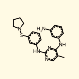 Cc1cnc(Nc2cccc(SN3CCCC3)c2)nc1Nc1cccc(N)c1